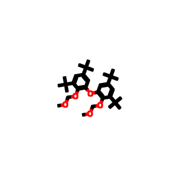 COCOc1c(Oc2cc(C(C)(C)C)cc(C(C)(C)C)c2OCOC)cc(C(C)(C)C)cc1C(C)(C)C